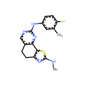 Cc1cc(Nc2ncc3c(n2)-c2sc(NC(C)(C)C)nc2CC3)ccc1F